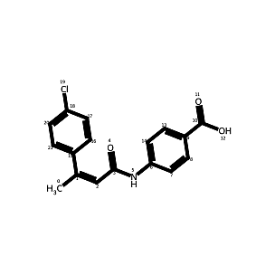 CC(=CC(=O)Nc1ccc(C(=O)O)cc1)c1ccc(Cl)cc1